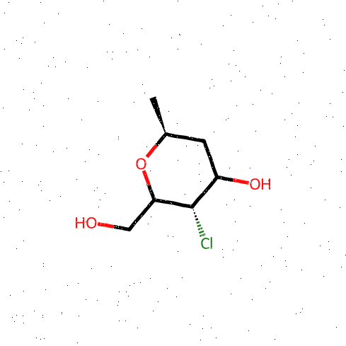 C[C@H]1CC(O)[C@H](Cl)C(CO)O1